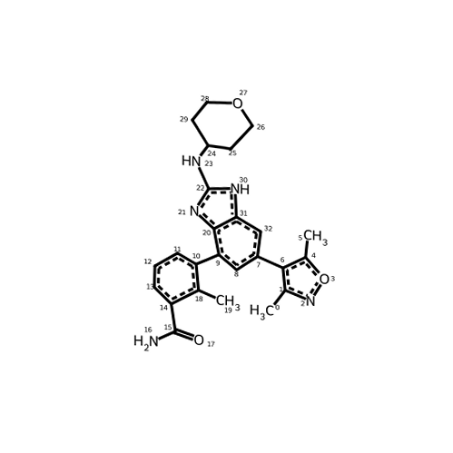 Cc1noc(C)c1-c1cc(-c2cccc(C(N)=O)c2C)c2nc(NC3CCOCC3)[nH]c2c1